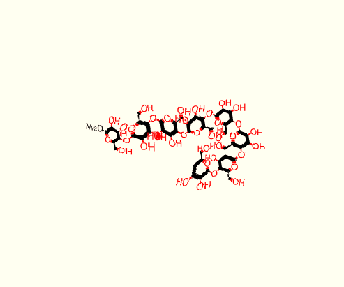 CO[C@H]1O[C@H](CO)[C@@H](O[C@H]2O[C@H](CO)[C@@H](O[C@H]3O[C@H](CO)[C@@H](O[C@H]4O[C@H](CO)[C@@H](O[C@H]5O[C@H](CO)[C@@H](O[C@H]6O[C@H](CO)[C@@H](O[C@@H]7C[C@@H](O)[C@H](O[C@H]8O[C@H](CO)C[C@H](O)[C@H]8O)[C@@H](CO)O7)[C@H](O)[C@H]6O)[C@H](O)[C@H]5O)[C@H](O)[C@H]4O)[C@H](O)[C@H]3O)[C@H](O)[C@H]2O)[C@H](O)[C@H]1O